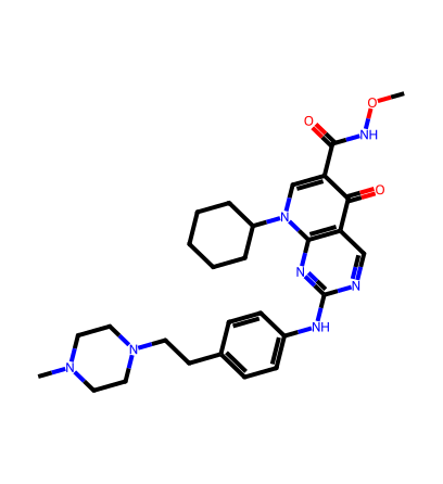 CONC(=O)c1cn(C2CCCCC2)c2nc(Nc3ccc(CCN4CCN(C)CC4)cc3)ncc2c1=O